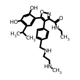 CCNC(=O)c1noc(-c2cc(C(C)C)c(O)cc2O)c1-c1ccc(CNCCNC)cc1